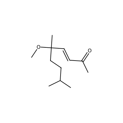 COC(C)(C=CC(C)=O)CCC(C)C